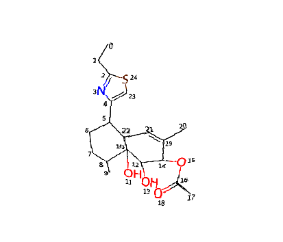 CCc1nc(C2CCC(C)C3(O)C(O)C(OC(C)=O)C(C)=CC23)cs1